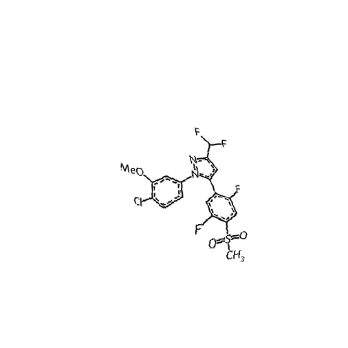 COc1cc(-n2nc(C(F)F)cc2-c2cc(F)c(S(C)(=O)=O)cc2F)ccc1Cl